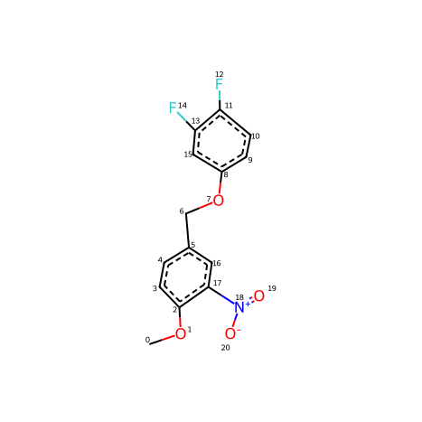 COc1ccc(COc2ccc(F)c(F)c2)cc1[N+](=O)[O-]